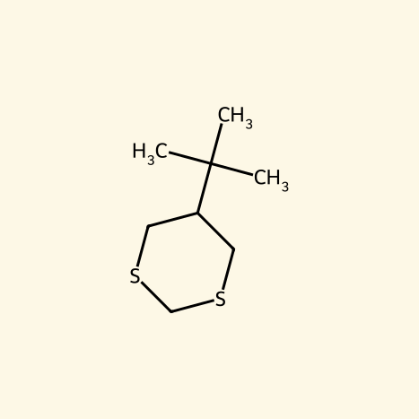 CC(C)(C)C1CSCSC1